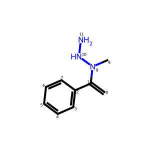 C=C(c1ccccc1)N(C)NN